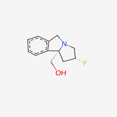 OC[C@@]12C[C@@H](F)CN1Cc1ccccc12